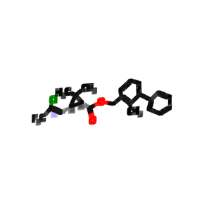 Cc1c(COC(=O)[C@@H]2[C@H](/C=C(\Cl)C(F)(F)F)C2(C)C)cccc1-c1ccccc1